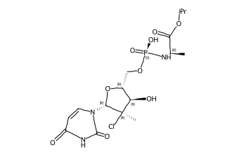 CC(C)OC(=O)[C@@H](C)N[P@](=O)(O)OC[C@H]1O[C@@H](n2ccc(=O)[nH]c2=O)[C@](C)(Cl)[C@@H]1O